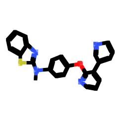 CN(c1ccc(Oc2ncccc2-c2cccnc2)cc1)c1nc2ccccc2s1